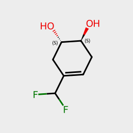 O[C@H]1CC=C(C(F)F)C[C@@H]1O